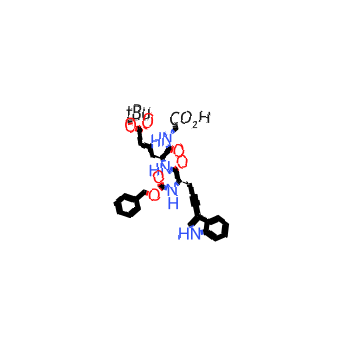 CC(C)(C)OC(=O)CCC[C@H](NC(=O)[C@H](CC#Cc1c[nH]c2ccccc12)NC(=O)OCc1ccccc1)C(=O)NCC(=O)O